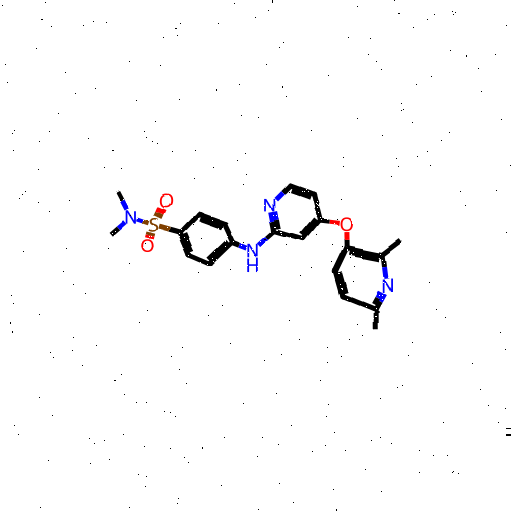 Cc1ccc(Oc2ccnc(Nc3ccc(S(=O)(=O)N(C)C)cc3)c2)c(C)n1